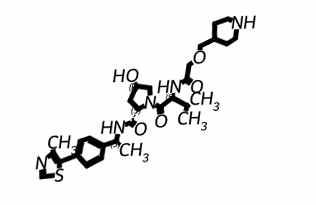 Cc1ncsc1-c1ccc([C@H](C)NC(=O)[C@@H]2C[C@@H](O)CN2C(=O)[C@@H](NC(=O)COCC2CCNCC2)C(C)C)cc1